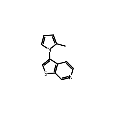 Cc1cccn1-c1csc2cnccc12